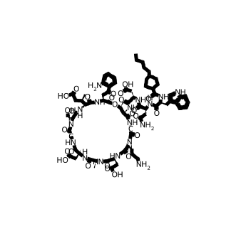 CCCCCC1CCC(C(=O)N[C@@H](Cc2c[nH]c3ccccc23)C(=O)N[C@H](CC(N)=O)C(=O)N[C@@H](CC(=O)O)C(=O)N[C@@H]2C(=O)NCC(=O)N[C@@H](CCCN)C(=O)N[C@@H](CC(=O)O)C(=O)N[C@H](C)C(=O)N[C@@H](CC(=O)O)C(=O)NCC(=O)N[C@H](CO)C(=O)N[C@@H]([C@H](C)CC(=O)O)C(=O)N[C@@H](CC(=O)c3ccccc3N)C(=O)O[C@@H]2C)CC1